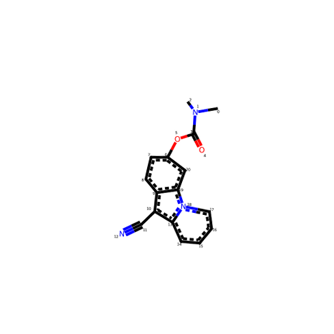 CN(C)C(=O)Oc1ccc2c(C#N)c3ccccn3c2c1